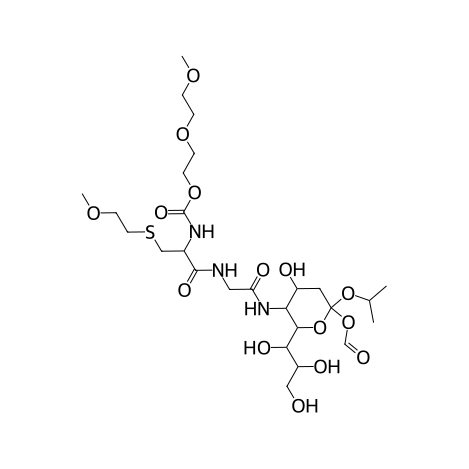 COCCOCCOC(=O)NC(CSCCOC)C(=O)NCC(=O)NC1C(O)CC(OC=O)(OC(C)C)OC1C(O)C(O)CO